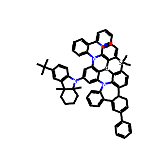 CC(C)(C)c1ccc2c(c1)C1(C)CCCCC1(C)N2c1cc2c3c(c1)N1c4ccccc4C4=CC(c5ccccc5)=CCC4c4ccc5c(c41)B3c1c(cccc1[Si]5(C)C)N2c1ccccc1-c1ccccn1